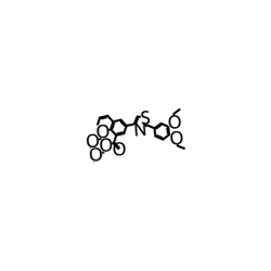 C/C=C\c1cc(-c2csc(-c3ccc(OCC)c(OCC)c3)n2)cc(C(=O)OCOC)c1OCOC